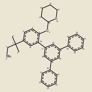 CC(C)(C)CC(C)(C)c1ccc(OC2CCCCO2)c(-c2cc(-c3ccccc3)cc(-c3ccccc3)c2)c1